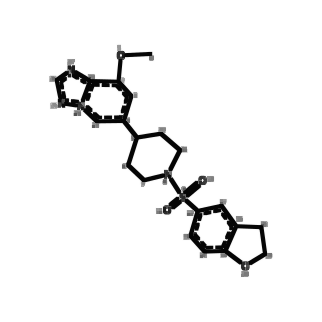 COc1cc(C2CCN(S(=O)(=O)c3ccc4c(c3)CCO4)CC2)cn2ncnc12